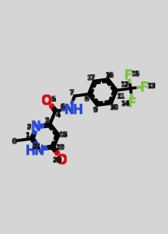 Cc1nc(C(=O)NCc2ccc(C(F)(F)F)cc2)cc(=O)[nH]1